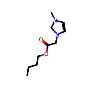 CCCCOC(=O)CN1C=CN(C)C1